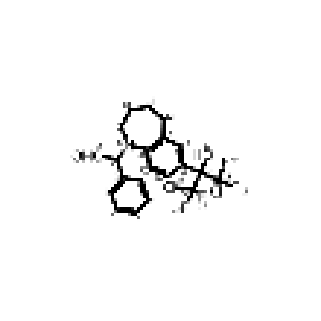 O=CC(c1ccccc1)N1CCCCc2cc(C(O)(C(F)(F)Cl)C(F)(F)Cl)ccc21